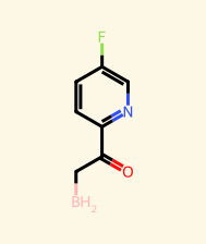 BCC(=O)c1ccc(F)cn1